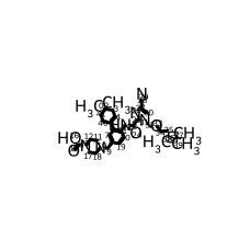 CC1(C)CC=C(c2cc(CN3CCN(C(=O)O)CC3)ccc2NC(=O)c2nc(C#N)cn2COCC[Si](C)(C)C)CC1